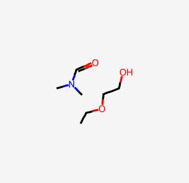 CCOCCO.CN(C)C=O